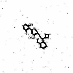 CCc1cccc(CC)c1-c1cc(OC)c(CN2CCc3ccccc3C2C2CCC2)cn1